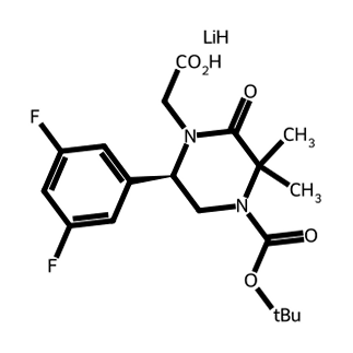 CC(C)(C)OC(=O)N1C[C@@H](c2cc(F)cc(F)c2)N(CC(=O)O)C(=O)C1(C)C.[LiH]